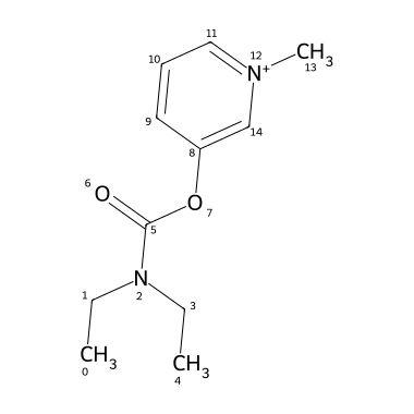 CCN(CC)C(=O)Oc1ccc[n+](C)c1